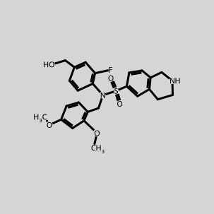 COc1ccc(CN(c2ccc(CO)cc2F)S(=O)(=O)c2ccc3c(c2)CCNC3)c(OC)c1